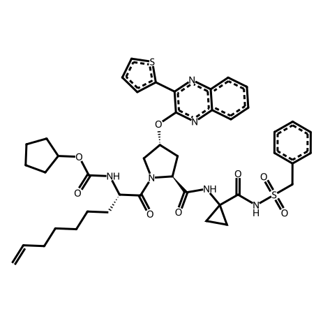 C=CCCCCC[C@H](NC(=O)OC1CCCC1)C(=O)N1C[C@H](Oc2nc3ccccc3nc2-c2cccs2)C[C@H]1C(=O)NC1(C(=O)NS(=O)(=O)Cc2ccccc2)CC1